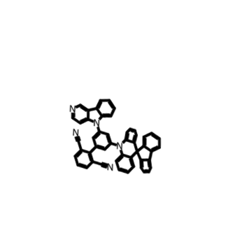 N#Cc1cccc(C#N)c1-c1cc(N2c3ccccc3C3(c4ccccc4-c4ccccc43)c3ccccc32)cc(-n2c3ccccc3c3cnccc32)c1